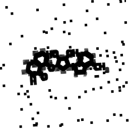 Cc1ccnc2c1ccn2[C@@H]1C[C@H](Oc2cccc3c2C(=O)NCC3)[C@@H](O)[C@H]1O